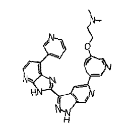 CN(C)CCOc1cncc(-c2cc3c(-c4nc5c(-c6cccnc6)ccnc5[nH]4)n[nH]c3cn2)c1